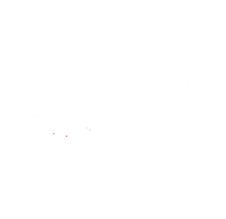 CC1(C)CCC(C)(C)c2cc(-c3ccccc3N(c3ccc4cc(-c5ccc6c(c5)[Si](C)(C)c5ccccc5-6)ccc4c3)c3ccc4oc5ccccc5c4c3)ccc21